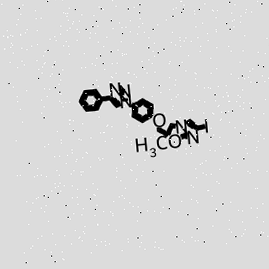 C[C@]1(COc2ccc(-n3cc(-c4ccccc4)nn3)cc2)Cn2cc(I)nc2O1